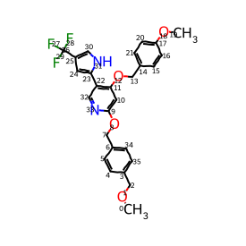 COCc1ccc(COc2cc(OCc3ccc(OC)cc3)c(-c3cc(C(F)(F)F)c[nH]3)cn2)cc1